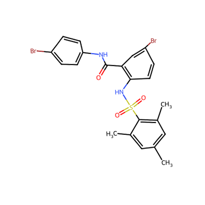 Cc1cc(C)c(S(=O)(=O)Nc2ccc(Br)cc2C(=O)Nc2ccc(Br)cc2)c(C)c1